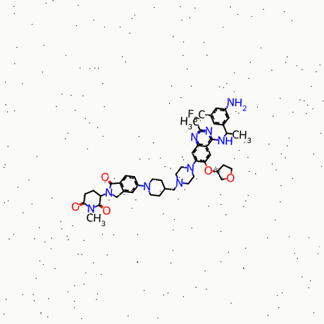 Cc1nc(NC(C)c2cc(N)cc(C(F)(F)F)c2)c2cc(O[C@H]3CCOC3)c(N3CCN(CC4CCN(c5ccc6c(c5)CN(C5CCC(=O)N(C)C5=O)C6=O)CC4)CC3)cc2n1